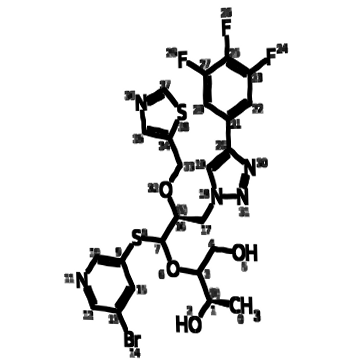 C[C@@H](O)C(CO)OC(Sc1cncc(Br)c1)[C@H](Cn1cc(-c2cc(F)c(F)c(F)c2)nn1)OCc1cncs1